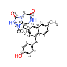 Cc1ccc2c(Cc3ccc(O)cc3)cc(CC34CNC(=O)CN3C(=O)NN4C(=O)O)cc2c1